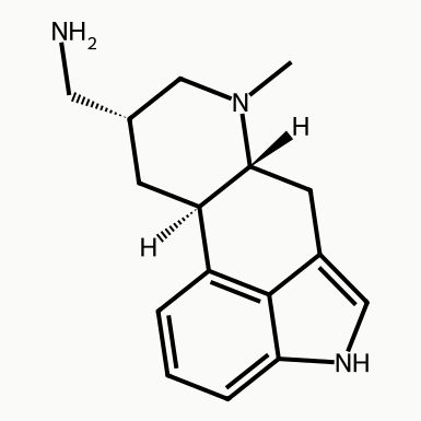 CN1C[C@@H](CN)C[C@@H]2c3cccc4[nH]cc(c34)C[C@H]21